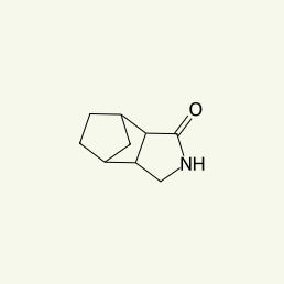 O=C1NCC2C3CCC(C3)C12